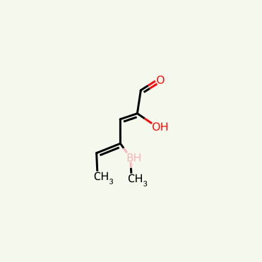 CBC(/C=C(\O)C=O)=C\C